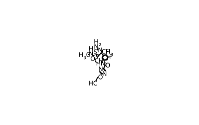 C#CCOc1cnc(C(=O)Nc2cc(F)c(F)c([C@@]3(C)N=C(N)S[C@]4(C(=O)NC)C3[C@@H]4C)c2)cn1